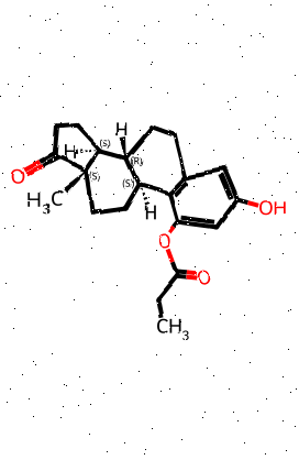 CCC(=O)Oc1cc(O)cc2c1[C@H]1CC[C@]3(C)C(=O)CC[C@H]3[C@@H]1CC2